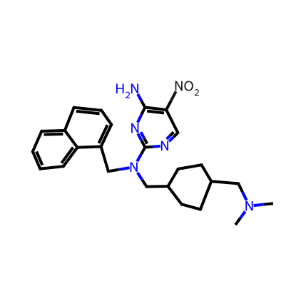 CN(C)CC1CCC(CN(Cc2cccc3ccccc23)c2ncc([N+](=O)[O-])c(N)n2)CC1